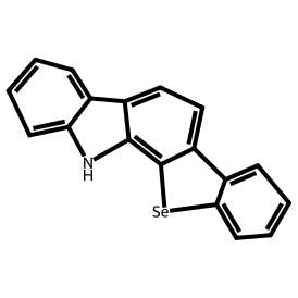 c1ccc2c(c1)[nH]c1c2ccc2c3ccccc3[se]c21